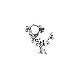 C=C(CBr)C(=O)OCCCCC(C=O)N[C@H](C(=O)N[C@@H](CCCNC(N)=O)C(=O)Nc1cc(Cl)c(C(=O)N(C)[C@@H](C)C(=O)O[C@H]2CC(=O)N(C)c3cc(cc(OC)c3Cl)C/C(C)=C/C=C/[C@@H](OC)[C@@]3(O)C[C@H](OC(=O)N3)[C@@H](C)[C@@H]3O[C@@]23C)cc1F)C(C)C